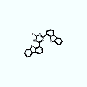 SC1N=C(c2cccc3c2oc2ccccc23)N=C(c2cccc3c2oc2ccccc23)N1